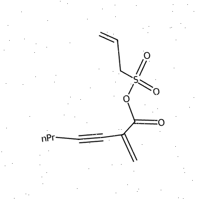 C=CCS(=O)(=O)OC(=O)C(=C)C#CCCC